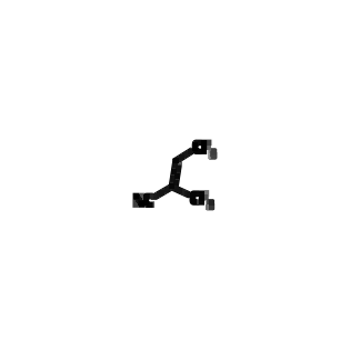 N#CC(=CC(F)(F)F)C(F)(F)F